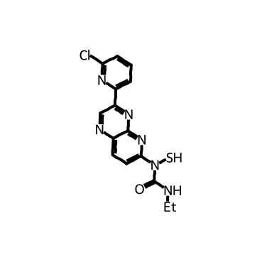 CCNC(=O)N(S)c1ccc2ncc(-c3cccc(Cl)n3)nc2n1